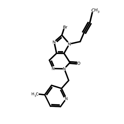 CC#CCn1c(Br)nc2cnn(Cc3cc(C)ccn3)c(=O)c21